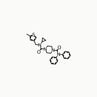 Cc1cc(CN(C(=O)N2CCN(C(=O)N(c3ccccc3)c3ccccc3)CC2)C2CC2)cs1